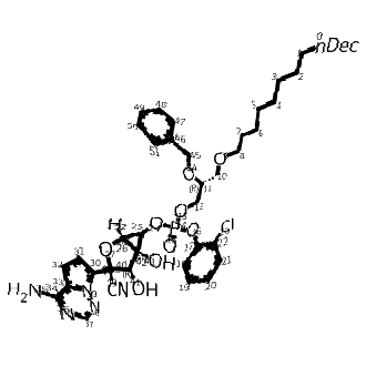 CCCCCCCCCCCCCCCCCCOC[C@H](COP(=O)(Oc1ccccc1Cl)OC1[C@H]2O[C@@](C#N)(c3ccc4c(N)ncnn34)[C@H](O)[C@@]12O)OCc1ccccc1